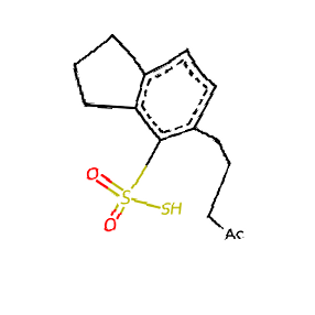 CC(=O)CCc1ccc2c(c1S(=O)(=O)S)CCC2